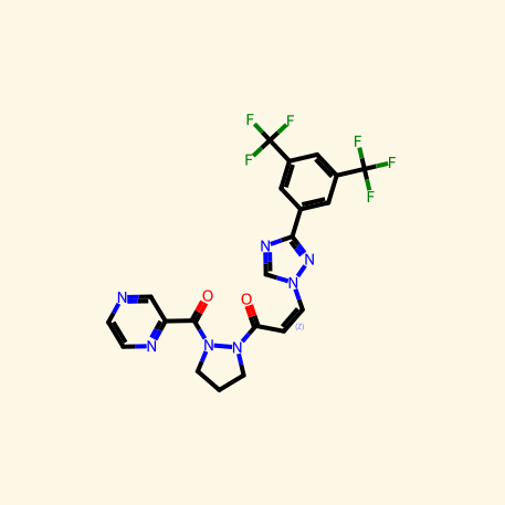 O=C(/C=C\n1cnc(-c2cc(C(F)(F)F)cc(C(F)(F)F)c2)n1)N1CCCN1C(=O)c1cnccn1